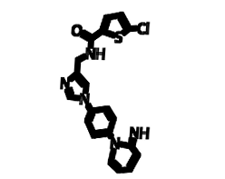 N=c1ccccn1-c1ccc(-n2cnc(CNC(=O)c3ccc(Cl)s3)c2)cc1